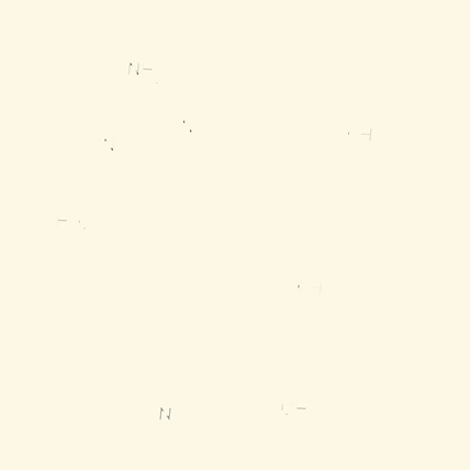 Cc1cc(C)cc(-c2nc(N)nc(C)c2C#Cc2cncc(O)c2)c1